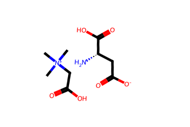 C[N+](C)(C)CC(=O)O.N[C@@H](CC(=O)[O-])C(=O)O